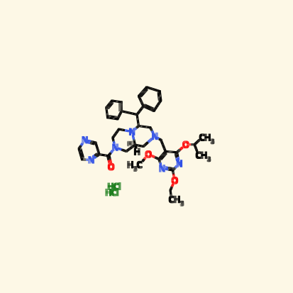 CCOc1nc(OC)c(CN2CC(C(c3ccccc3)c3ccccc3)N3CCN(C(=O)c4cnccn4)C[C@H]3C2)c(OC(C)C)n1.Cl.Cl